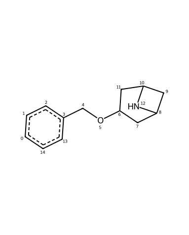 c1ccc(COC2CC3CC(C2)N3)cc1